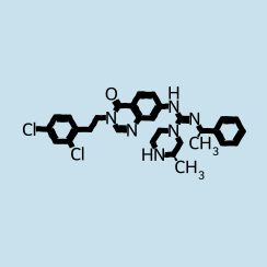 C[C@H](/N=C(/Nc1ccc2c(=O)n(CCc3ccc(Cl)cc3Cl)cnc2c1)N1CCN[C@@H](C)C1)c1ccccc1